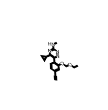 C#Cc1ccc(-c2nnc(NC)nc2C2CC2)c(OCOCC)c1